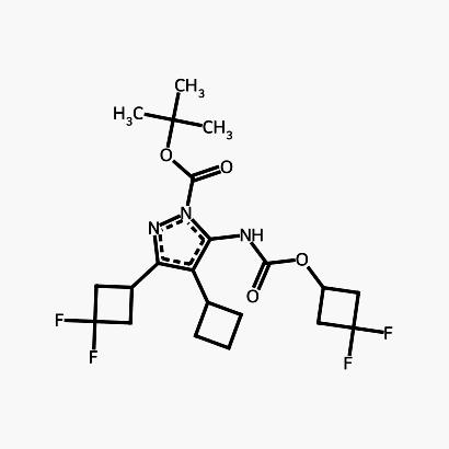 CC(C)(C)OC(=O)n1nc(C2CC(F)(F)C2)c(C2CCC2)c1NC(=O)OC1CC(F)(F)C1